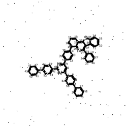 c1ccc(-c2ccc(-c3cc(-c4ccc(-c5cccc6c5nc(-c5ccccc5)c5c7ccccc7sc65)cc4)nc(-c4ccc(-c5ccccc5)cc4)n3)cc2)cc1